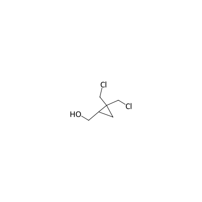 OCC1CC1(CCl)CCl